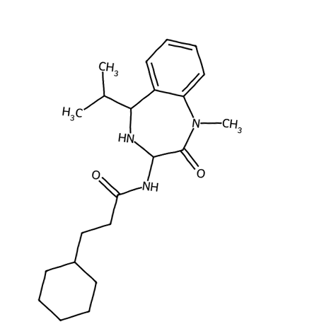 CC(C)C1NC(NC(=O)CCC2CCCCC2)C(=O)N(C)c2ccccc21